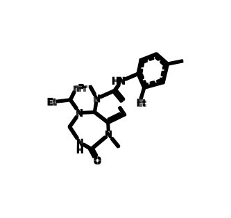 C=C(Nc1ccc(C)cc1CC)N(C)C1/C(=C\C)N(C)C(=O)NCN1C(CC)CCC